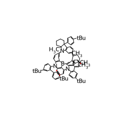 CC(C)(C)c1ccc(C23CCCCC2(C)N2c4ccc5c(c4)B4c6cc7c(cc6N(c6ccc(C(C)(C)C)cc6-c6ccccc6)c6cc(C(C)(C)C)cc(c64)N5c4ccc(C(C)(C)C)cc4-c4ccccc4)C(C)(C)CCC7(C)c4ccc3c2c4)cc1